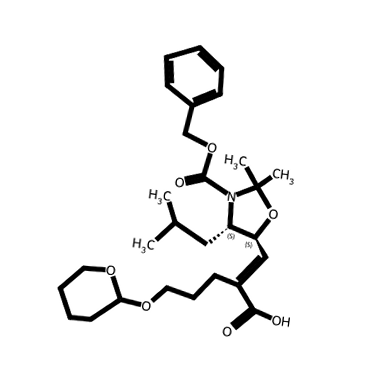 CC(C)C[C@H]1[C@H](C=C(CCCOC2CCCCO2)C(=O)O)OC(C)(C)N1C(=O)OCc1ccccc1